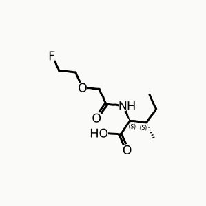 CC[C@H](C)[C@H](NC(=O)COCCF)C(=O)O